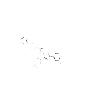 Cc1cc(-c2nc(C3CCCCC3)n(CC(=O)N3CCN(c4ccccn4)CC3)n2)ccc1F